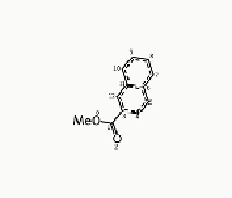 COC(=O)c1c[c]c2ccccc2c1